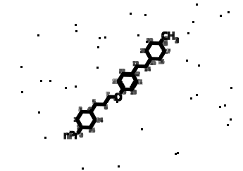 CCCC1CCC(CCCOc2ccc(CCC3CCC(C)CC3)cc2)CC1